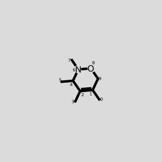 CC1=C(C)C(C)N(C)OC1